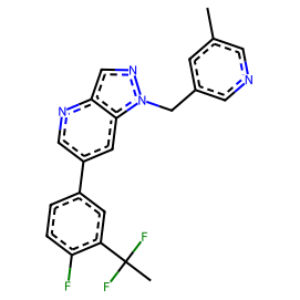 Cc1cncc(Cn2ncc3ncc(-c4ccc(F)c(C(C)(F)F)c4)cc32)c1